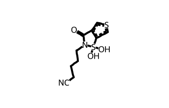 N#CCCCCN1C(=O)c2cscc2S1(O)O